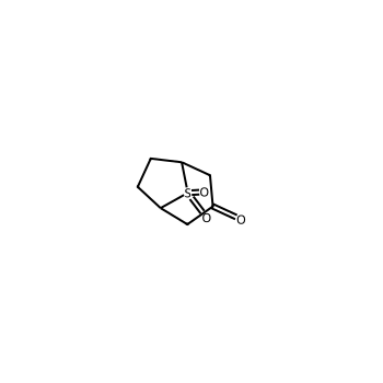 O=C1CC2CCC(C1)S2(=O)=O